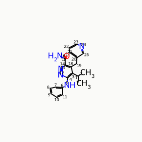 CC(C)c1c(Nc2ccccc2)nnc(C(N)=O)c1Cc1cccnc1